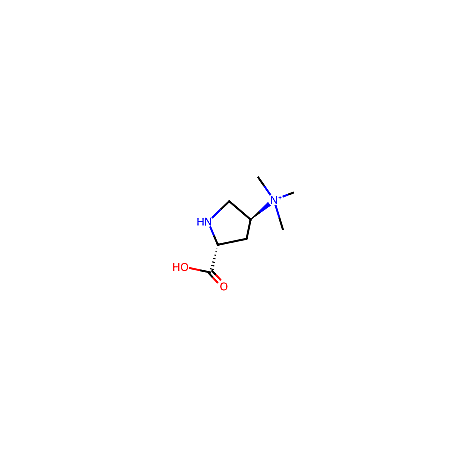 C[N+](C)(C)[C@@H]1CN[C@@H](C(=O)O)C1